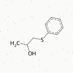 [CH2]C(O)CSc1ccccc1